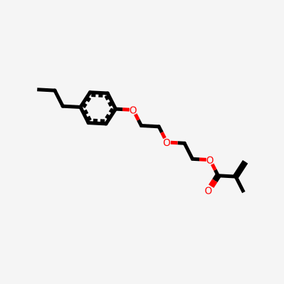 C=C(C)C(=O)OCCOCCOc1ccc(CCC)cc1